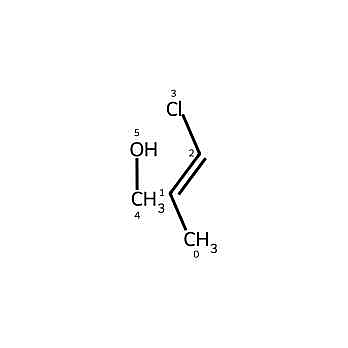 CC=CCl.CO